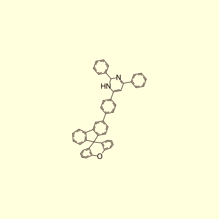 C1=C(c2ccc(-c3ccc4c(c3)-c3ccccc3C43c4ccccc4Oc4ccccc43)cc2)NC(c2ccccc2)N=C1c1ccccc1